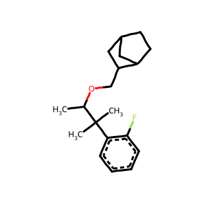 CC(OCC1CC2CCC1C2)C(C)(C)c1ccccc1F